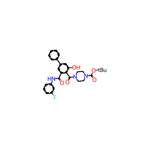 CC(C)(C)OC(=O)N1CCN(C(=O)c2c(O)cc(-c3ccccc3)cc2C(=O)Nc2cccc(F)c2)CC1